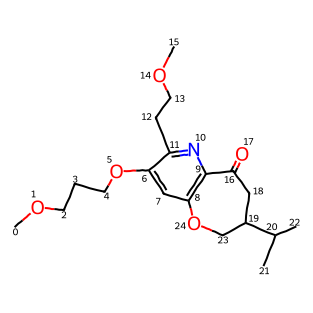 COCCCOc1cc2c(nc1CCOC)C(=O)CC(C(C)C)CO2